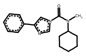 CN(C(=O)n1cnc(-c2ccccc2)c1)C1CCCCC1